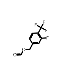 O=COCc1ccc(C(F)(F)F)c(F)c1